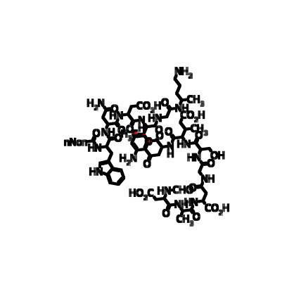 CCCCCCCCCC(=O)NC(Cc1c[nH]c2ccccc12)C(=O)NC(CC(N)=O)C(=O)NC(CC(=O)O)C(=O)NC(C(=O)NCC(=O)NC(C)CCCN)C(C)OC(=O)C(CC(=O)c1ccccc1N)NC(=O)C(NC(=O)C(CO)NC(=O)CNC(=O)CC(NC(=O)C(C)NC(=O)C(CC(=O)O)NC=O)C(=O)O)C(C)CC(=O)O